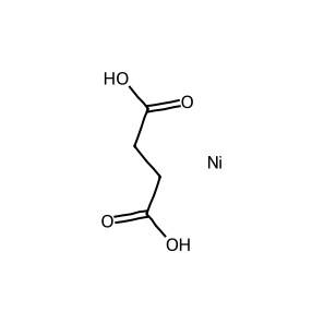 O=C(O)CCC(=O)O.[Ni]